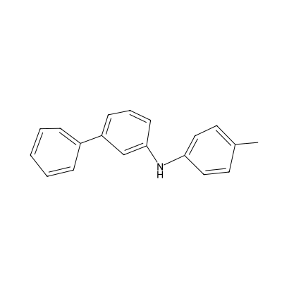 Cc1ccc(Nc2cccc(-c3ccccc3)c2)cc1